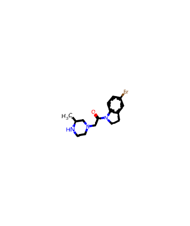 CC1CN(CC(=O)N2CCc3cc(Br)ccc32)CCN1